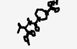 COC(=O)C(C(C)C)N(C)C(=O)N1CCCN(C(=O)O)CC1